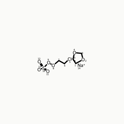 C1COCO1.CCCOOS(=O)(=O)[O-].[Na+]